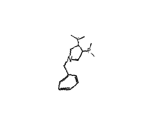 CP(C)C1CN(Cc2ccccc2)CC1P(C)C